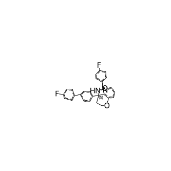 O=C(N[C@]1(c2ccc(-c3ccc(F)cc3)cc2)CCOc2cccnc21)c1ccc(F)cc1